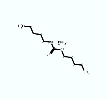 CCCCCNC(=S)SCCCCC.[PbH2]